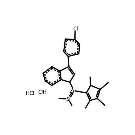 CC1=C(C)C(C)[C]([Zr]([CH]2C=C(c3ccc(Cl)cc3)c3ccccc32)=[Si](C)C)=C1C.Cl.Cl